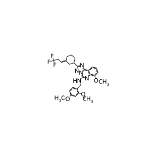 COc1ccc(CNc2nc3c(OC)cccc3c3nc(C4CCC/C(=C\CC(F)(F)F)C4)nn23)c(OC)c1